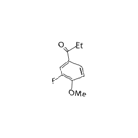 CCC(=O)c1ccc(OC)c(F)c1